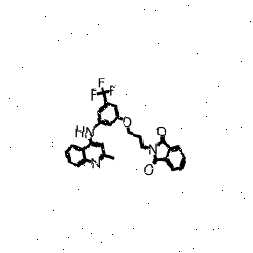 Cc1cc(Nc2cc(OCCCN3C(=O)c4ccccc4C3=O)cc(C(F)(F)F)c2)c2ccccc2n1